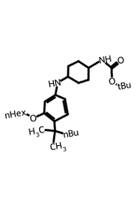 CCCCCCOc1cc(NC2CCC(NC(=O)OC(C)(C)C)CC2)ccc1C(C)(C)CCCC